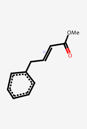 COC(=O)/C=C/Cc1ccccc1